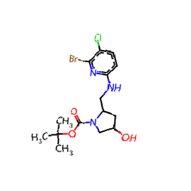 CC(C)(C)OC(=O)N1CC(O)CC1CNc1ccc(Cl)c(Br)n1